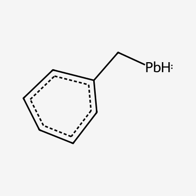 [PbH][CH2]c1ccccc1